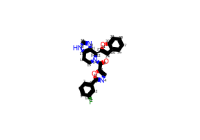 O=C(c1cnc(-c2cccc(F)c2)o1)N1CCc2[nH]cnc2[C@H]1c1cc2ccccc2o1